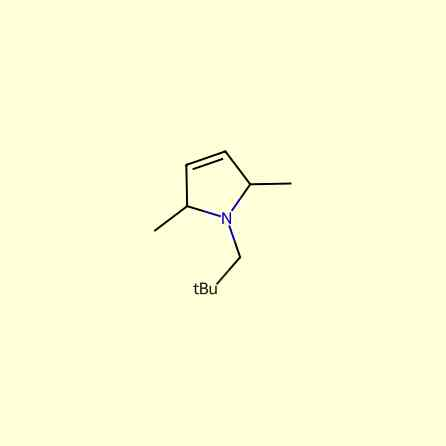 CC1C=CC(C)N1CC(C)(C)C